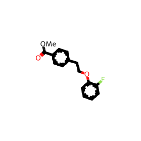 COC(=O)c1ccc(CCOc2ccccc2F)cc1